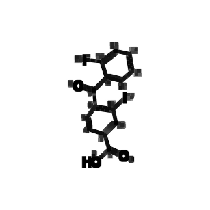 O=C(O)c1ccc(C(=O)c2ccccc2F)c(I)c1